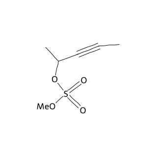 CC#CC(C)OS(=O)(=O)OC